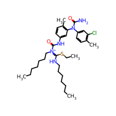 CCCCCCCNC(SCC)=[N+](CCCCCCC)C(=O)Nc1ccc(C)c(N(C(N)=O)c2ccc(C)c(Cl)c2)c1